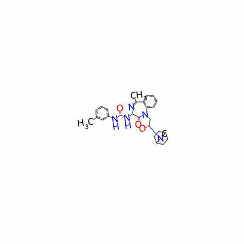 CC1=NC(NC(=O)Nc2cccc(C)c2)C(=O)N(CC(=O)N2CC3CCC(CC3)C2)c2ccccc21